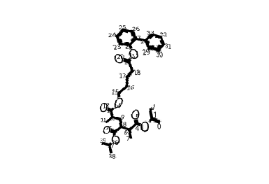 CC(C)OC(=O)C(C)C(CC(C)C(=O)OCCCCC(=O)Oc1ccccc1-c1ccccc1)C(=O)OC(C)C